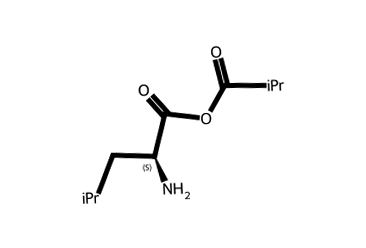 CC(C)C[C@H](N)C(=O)OC(=O)C(C)C